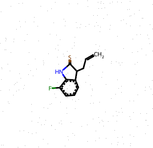 C=CCC1C(=S)Nc2c(F)cccc21